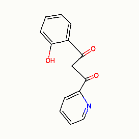 O=C(CC(=O)c1ccccc1O)c1ccccn1